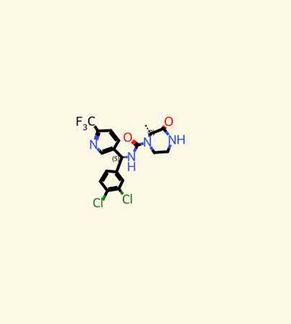 C[C@@H]1C(=O)NCCN1C(=O)N[C@H](c1ccc(C(F)(F)F)nc1)c1ccc(Cl)c(Cl)c1